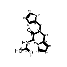 O=C(O)NCC(=O)N(Cc1cccs1)Cc1cccs1